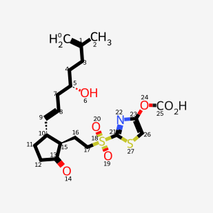 C=C(C)CC[C@H](O)C/C=C/[C@H]1CCC(=O)[C@@H]1CCS(=O)(=O)c1nc(OC(=O)O)cs1